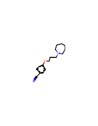 N#Cc1ccc(OCCC[N+]2CCCCCC2)cc1